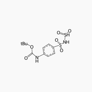 CC(C)(C)OC(=O)Nc1ccc(S(=O)(=O)N[SH](=O)=O)cc1